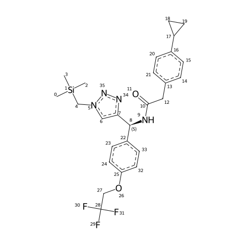 C[Si](C)(C)Cn1cc([C@@H](NC(=O)Cc2ccc(C3CC3)cc2)c2ccc(OCC(F)(F)F)cc2)nn1